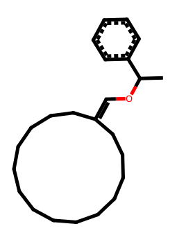 CC(OC=C1CCCCCCCCCCCCCC1)c1ccccc1